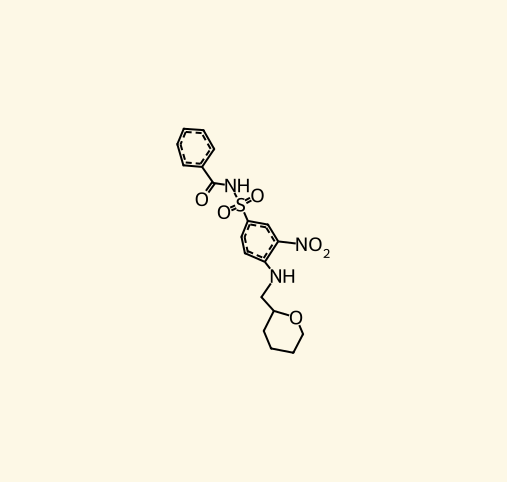 O=C(NS(=O)(=O)c1ccc(NCC2CCCCO2)c([N+](=O)[O-])c1)c1ccccc1